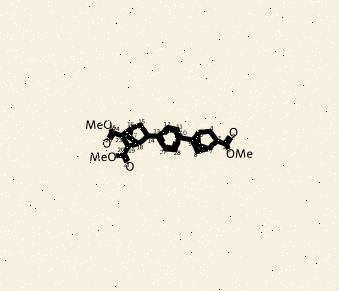 COC(=O)C1CC2CC1CC2c1ccc(C2CC3CC2C(C(=O)OC)C3C(=O)OC)cc1